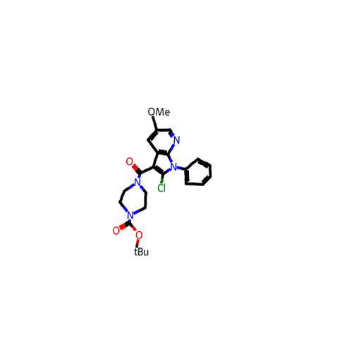 COc1cnc2c(c1)c(C(=O)N1CCN(C(=O)OC(C)(C)C)CC1)c(Cl)n2-c1ccccc1